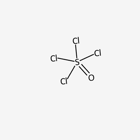 O=S(Cl)(Cl)(Cl)Cl